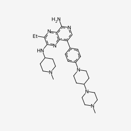 CCc1nc2c(N)ncc(-c3ccc(N4CCC(N5CCN(C)CC5)CC4)cc3)c2nc1NC1CCN(C)CC1